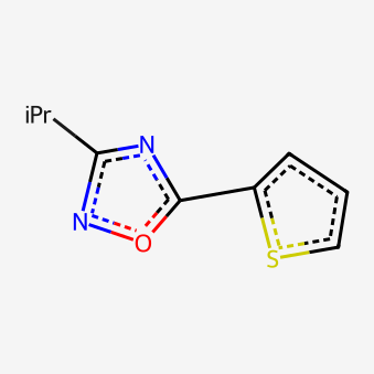 CC(C)c1noc(-c2cccs2)n1